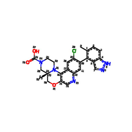 Cc1ccc2[nH]ncc2c1-c1cc2ncc3c(c2cc1Cl)N1CCN(C(=O)O)C[C@H]1CO3